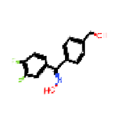 OCc1ccc(C(=NO)c2ccc(F)c(F)c2)cc1